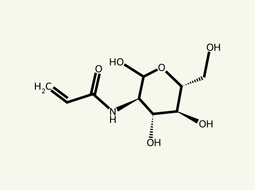 C=CC(=O)N[C@H]1C(O)O[C@H](CO)[C@@H](O)[C@@H]1O